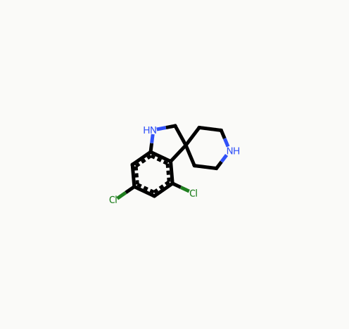 Clc1cc(Cl)c2c(c1)NCC21CCNCC1